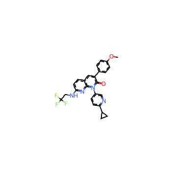 COc1ccc(-c2cc3ccc(NCC(F)(F)F)nc3n(-c3ccc(C4CC4)nc3)c2=O)cc1